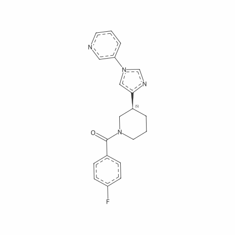 O=C(c1ccc(F)cc1)N1CCC[C@H](c2cn(-c3cccnc3)cn2)C1